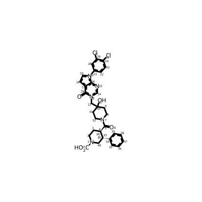 O=C(O)N1CC[C@@H](C(=O)N2CCC(O)(Cn3cnc4c(ccn4-c4ccc(Cl)c(Cl)c4)c3=O)CC2)[C@H](c2ccccc2)C1